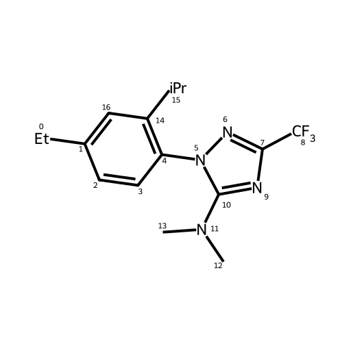 CCc1ccc(-n2nc(C(F)(F)F)nc2N(C)C)c(C(C)C)c1